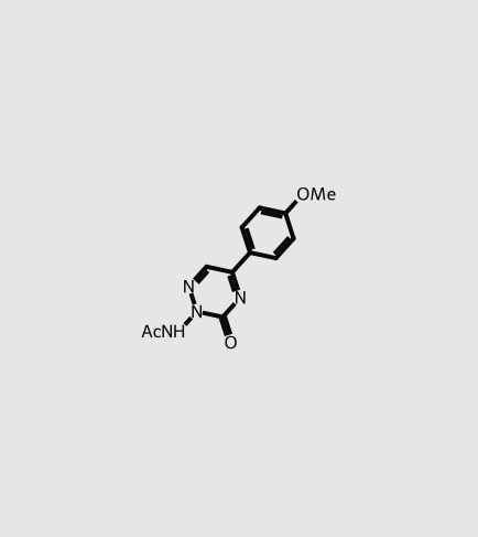 COc1ccc(-c2cnn(NC(C)=O)c(=O)n2)cc1